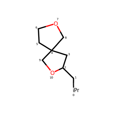 CC(C)CC1CC2(CCOC2)CO1